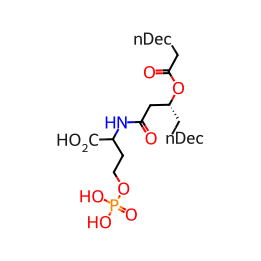 CCCCCCCCCCCC(=O)O[C@H](CCCCCCCCCCC)CC(=O)NC(CCOP(=O)(O)O)C(=O)O